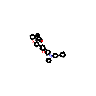 c1ccc(-c2ccc(N(c3ccccc3)c3ccc4c(c3)oc3cc(-c5ccc6c(c5)[Si]5(c7ccccc7O6)c6ccccc6-c6ccccc65)ccc34)cc2)cc1